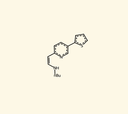 CCCCN/C=C\c1ccc(-c2cccs2)cn1